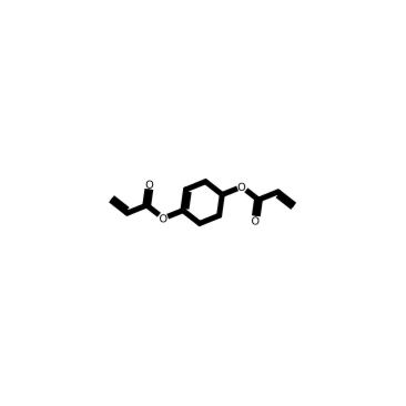 C=CC(=O)OC1=CCC(OC(=O)C=C)CC1